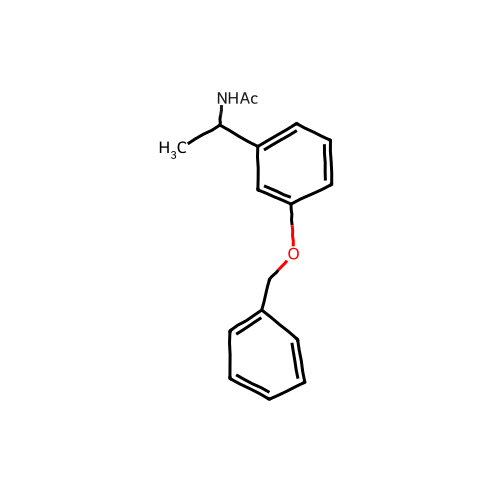 CC(=O)NC(C)c1cccc(OCc2ccccc2)c1